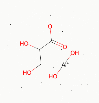 O=C([O-])C(O)CO.[OH][Al+][OH]